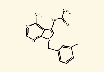 Cc1cccc(Cn2cc([Se]C(N)=O)c3c(N)ncnc32)c1